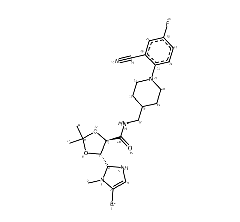 CN1C(Br)=CNC1[C@@H]1OC(C)(C)O[C@H]1C(=O)NCC1CCN(c2ccc(F)cc2C#N)CC1